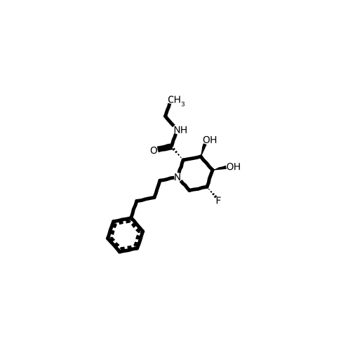 CCNC(=O)[C@@H]1[C@@H](O)[C@@H](O)[C@H](F)CN1CCCc1ccccc1